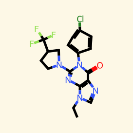 CCn1cnc2c(=O)n(-c3ccc(Cl)cc3)c(N3CCC(C(F)(F)F)C3)nc21